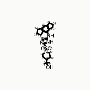 CC(C)(O)C1CCN(S(=O)(=O)c2nnc(Nc3c4c(cc5c3CCC5)CCC4)[nH]2)CC1